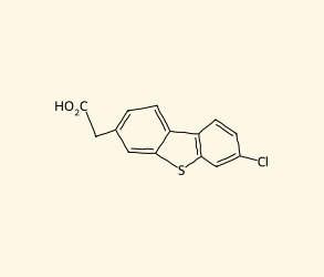 O=C(O)Cc1ccc2c(c1)sc1cc(Cl)ccc12